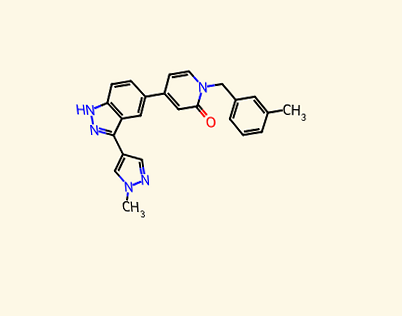 Cc1cccc(Cn2ccc(-c3ccc4[nH]nc(-c5cnn(C)c5)c4c3)cc2=O)c1